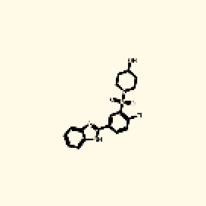 O=S(=O)(c1cc(-c2nc3ccccc3[nH]2)ccc1Cl)N1CCC(O)CC1